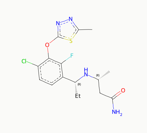 CC[C@@H](N[C@H](C)CC(N)=O)c1ccc(Cl)c(Oc2nnc(C)s2)c1F